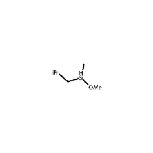 CO[SiH](C)CC(C)C